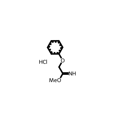 COC(=N)COc1ccccc1.Cl